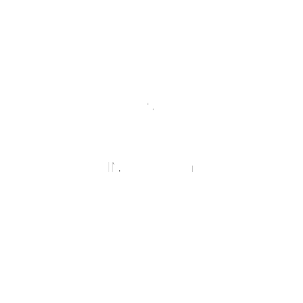 CN[CH]([Sn])SC